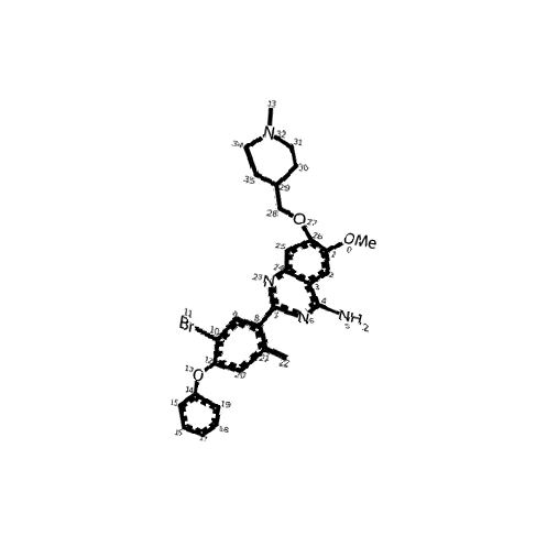 COc1cc2c(N)nc(-c3cc(Br)c(Oc4ccccc4)cc3C)nc2cc1OCC1CCN(C)CC1